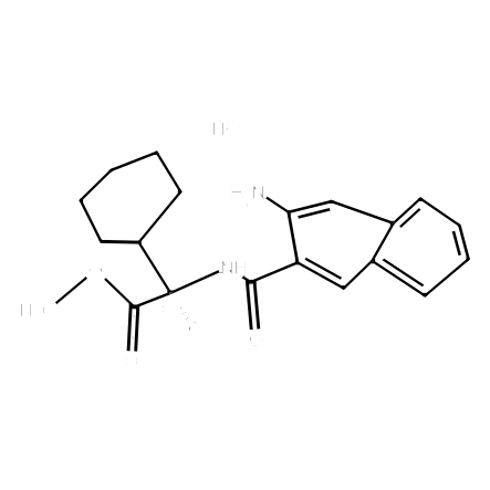 COC(=O)[C@](C)(NC(=O)c1cc2ccccc2cc1N)C1CCCCC1.Cl